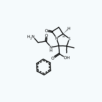 CC1(C)S[C@@H]2CC(=O)N2C1(NC(=O)CN)C(=O)O.c1ccccc1